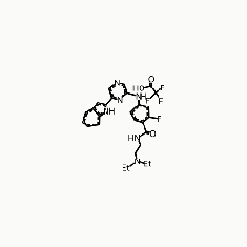 CCN(CC)CCNC(=O)c1ccc(Nc2cncc(-c3cc4ccccc4[nH]3)n2)cc1F.O=C(O)C(F)(F)F